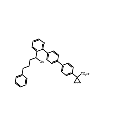 CCOC(=O)C1(c2ccc(-c3ccc(-c4ncccc4C(O)CCCc4ccccc4)cc3)cc2)CC1